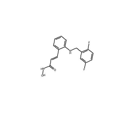 O=C(C=Cc1ccccc1NCc1cc(F)ccc1F)NO